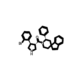 O=C([C@@H]1CNC[C@H]1c1ccccc1Br)N1CCC2(C=Cc3ccccc32)C[C@H]1c1ccccc1